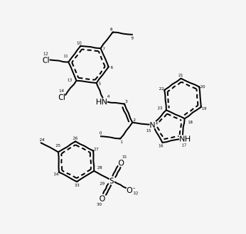 CCC(=CNc1cc(CC)cc(Cl)c1Cl)[n+]1c[nH]c2ccccc21.Cc1ccc(S(=O)(=O)[O-])cc1